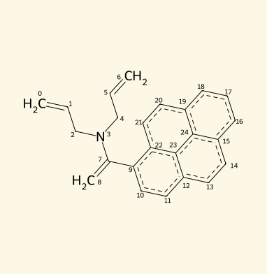 C=CCN(CC=C)C(=C)c1ccc2ccc3cccc4ccc1c2c34